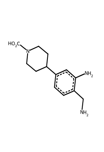 NCc1ccc(C2CCN(C(=O)O)CC2)cc1N